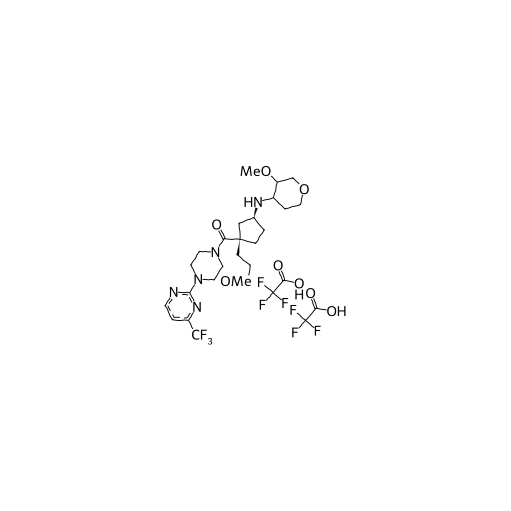 COCC[C@]1(C(=O)N2CCN(c3nccc(C(F)(F)F)n3)CC2)CC[C@H](NC2CCOCC2OC)C1.O=C(O)C(F)(F)F.O=C(O)C(F)(F)F